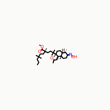 CCCC(C)(C)CC[C@@](C)(CCC(C)(C)[C@]1(C)CC[C@H]2[C@H](C)C(=NO)CC[C@]2(C)/C1=C/C(C)=O)C(=O)OC